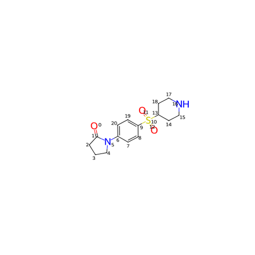 O=C1CCCN1c1ccc(S(=O)(=O)C2CCNCC2)cc1